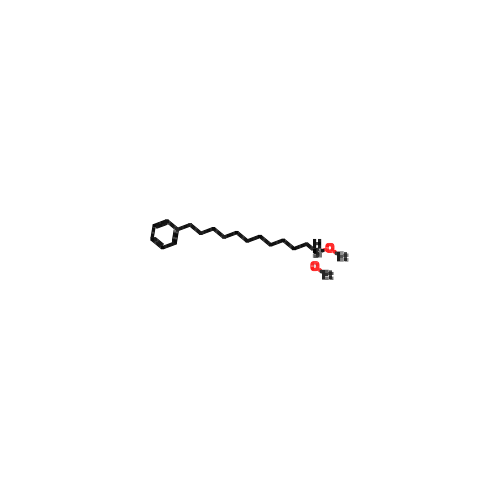 CCO[SiH](CCCCCCCCCCCc1ccccc1)OCC